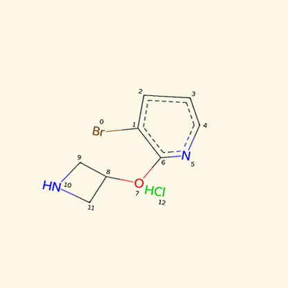 Brc1cccnc1OC1CNC1.Cl